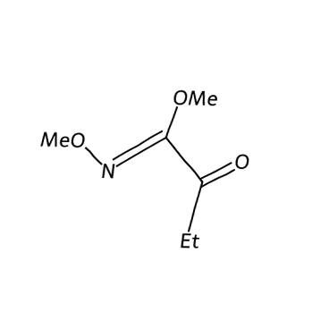 CCC(=O)/C(=N/OC)OC